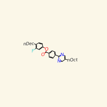 CCCCCCCCCCc1ccc(OC(=O)c2ccc(-c3ncc(CCCCCCCC)cn3)cc2)cc1F